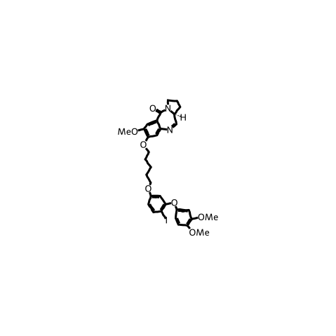 COc1ccc(Oc2cc(OCCCCCOc3cc4c(cc3OC)C(=O)N3CCC[C@H]3C=N4)ccc2I)cc1OC